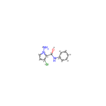 Nn1ccc(Br)c1C(=O)Nc1ccccc1